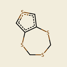 c1scc2c1SCSCS2